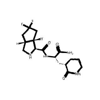 NC(=O)[C@H](C[C@@H]1CCCNC1=O)NC(=O)[C@H]1NC[C@@H]2CC(F)(F)C[C@@H]21